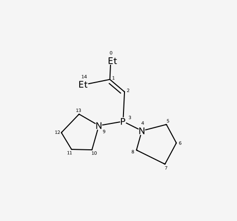 CCC(=CP(N1CCCC1)N1CCCC1)CC